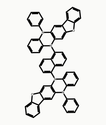 c1ccc(N2c3ccccc3N(c3cccc4c(N5c6ccccc6N(c6ccccc6)c6cc7c(cc65)oc5ccccc57)cccc34)c3cc4oc5ccccc5c4cc32)cc1